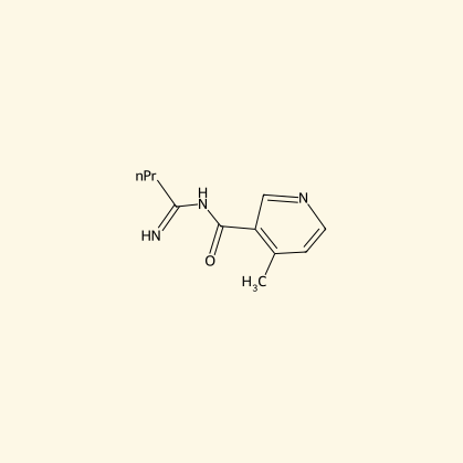 CCCC(=N)NC(=O)c1cnccc1C